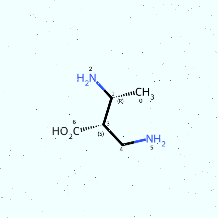 C[C@@H](N)[C@H](CN)C(=O)O